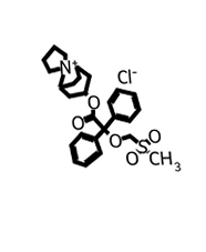 CS(=O)(=O)COC(C(=O)OC1CC2CCC(C1)[N+]21CCCC1)(c1ccccc1)c1ccccc1.[Cl-]